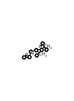 CC1(c2ccccc2)c2ccccc2Oc2c1ccc1c2-c2ccc(-c3cccc(-c4cccc5c4oc4ccccc45)n3)cc2C1(C)c1ccccc1